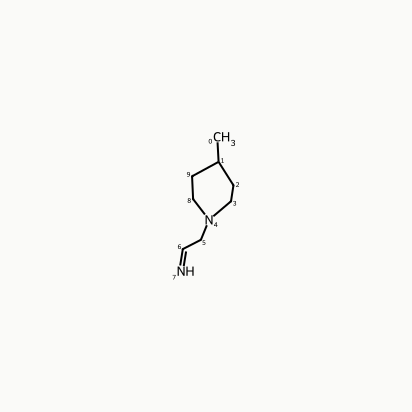 CC1CCN(CC=N)CC1